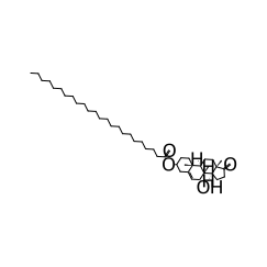 CCCCCCCCCCCCCCCCCCCCCCCC(=O)O[C@H]1CC[C@@]2(C)C(=CC(O)[C@@H]3[C@@H]2CC[C@]2(C)C(=O)CC[C@@H]32)C1